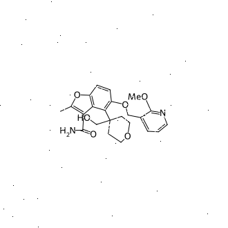 COc1ncccc1COc1ccc2oc(C)c(C(N)=O)c2c1C1(CO)CCOCC1